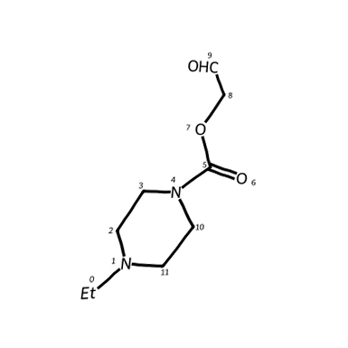 CCN1CCN(C(=O)OCC=O)CC1